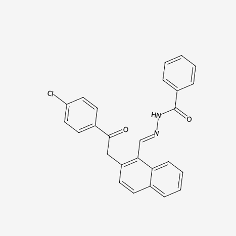 O=C(Cc1ccc2ccccc2c1/C=N/NC(=O)c1ccccc1)c1ccc(Cl)cc1